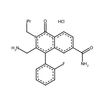 CC(C)Cn1c(CN)c(-c2ccccc2F)c2cc(C(N)=O)ccc2c1=O.Cl